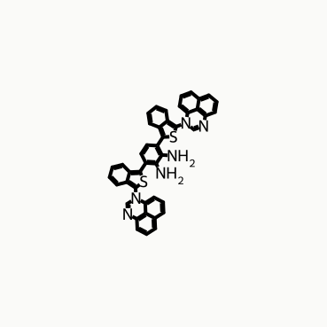 Nc1c(-c2sc(N3C=Nc4cccc5cccc3c45)c3ccccc23)ccc(-c2sc(N3C=Nc4cccc5cccc3c45)c3ccccc23)c1N